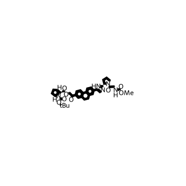 COC(=O)NCC(=O)N1CCC[C@H]1c1ncc(-c2ccc3c(c2)CCc2cc(C(=O)COC(=O)[C@@H]4[C@H]5CC[C@H](C5)N4C(=O)OC(C)(C)C)ccc2-3)[nH]1